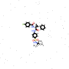 CC(C)(C)NS(=O)(=O)c1ccc(NC(=O)[C@@]2(NC(=O)c3ccc(F)cc3)C[C@@H]2c2ccccc2)cc1